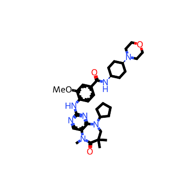 COc1cc(C(=O)N[C@H]2CC[C@@H](N3CCOCC3)CC2)ccc1Nc1ncc2c(n1)N(C1CCCC1)CC(C)(C)C(=O)N2C